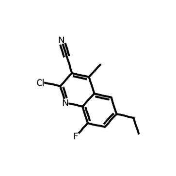 CCc1cc(F)c2nc(Cl)c(C#N)c(C)c2c1